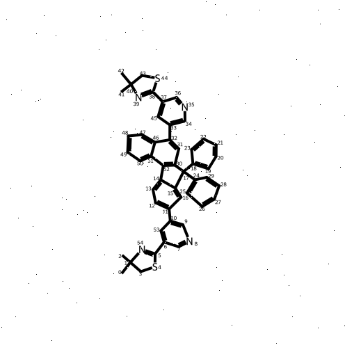 CC1(C)CSC(c2cncc(-c3ccc4c(c3)C(c3ccccc3)(c3ccccc3)c3cc(-c5cncc(C6=NC(C)(C)CS6)c5)c5ccccc5c3-4)c2)=N1